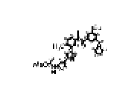 COC(=O)Nc1ncc(-c2cn(-c3cc(NC(=O)c4cc(CN5CCCC5)cc(C(C)(C)C)c4)ccc3C)nn2)s1